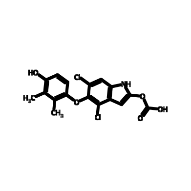 Cc1c(O)ccc(Oc2c(Cl)cc3[nH]c(OC(=O)O)cc3c2Cl)c1C